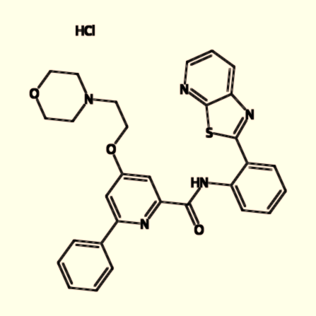 Cl.O=C(Nc1ccccc1-c1nc2cccnc2s1)c1cc(OCCN2CCOCC2)cc(-c2ccccc2)n1